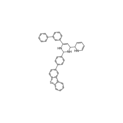 C1=CNC(C2C=C(c3cccc(-c4ccccc4)c3)NC(c3ccc(-c4ccc5sc6ccccc6c5c4)cc3)N2)C=C1